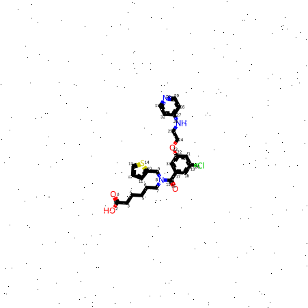 O=C(O)CCCCCN(Cc1cccs1)C(=O)c1cc(Cl)cc(OCCNc2ccncc2)c1